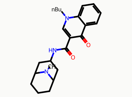 CCCCn1cc(C(=O)NC2CC3CCCC(C2)N3C)c(=O)c2ccccc21